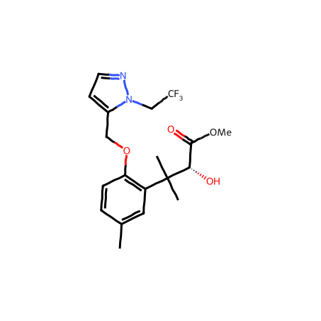 COC(=O)[C@H](O)C(C)(C)c1cc(C)ccc1OCc1ccnn1CC(F)(F)F